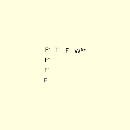 [F-].[F-].[F-].[F-].[F-].[F-].[W+6]